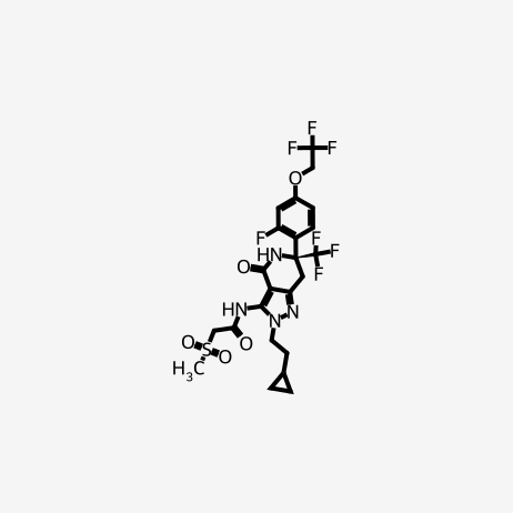 CS(=O)(=O)CC(=O)Nc1c2c(nn1CCC1CC1)C[C@](c1ccc(OCC(F)(F)F)cc1F)(C(F)(F)F)NC2=O